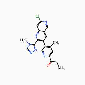 CCC(=O)c1cc(C)c(-c2cc3cnc(Cl)cc3nc2-c2nncn2C)cn1